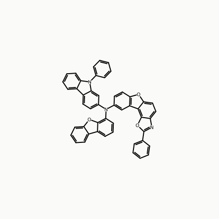 c1ccc(-c2nc3ccc4oc5ccc(N(c6ccc7c8ccccc8n(-c8ccccc8)c7c6)c6cccc7c6oc6ccccc67)cc5c4c3o2)cc1